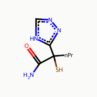 CCCC(S)(C(N)=O)c1nnc[nH]1